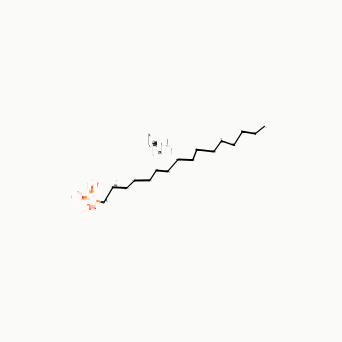 CCCCCCCCCCCCCCCCP(=O)([O-])[O-].[Na+].[Na+]